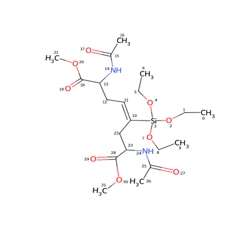 CCO[Si](OCC)(OCC)C(=CCC(NC(C)=O)C(=O)OC)CC(NC(C)=O)C(=O)OC